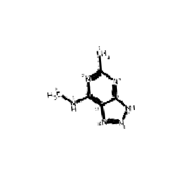 CNc1nc(C)nc2[nH]nnc12